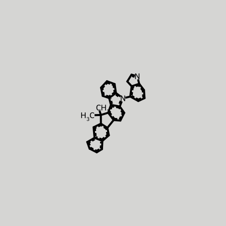 CC1(C)c2cc3ccccc3cc2-c2ccc3c(c21)c1ccccc1n3-c1cccc2c1CC=N2